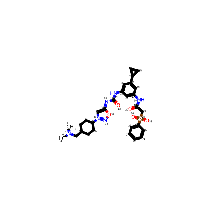 CN(C)CC1CCC([n+]2cc([N-]C(=O)Nc3cc(NC(=O)CS(=O)(=O)c4ccccc4)cc(C4CC4)c3)on2)CC1